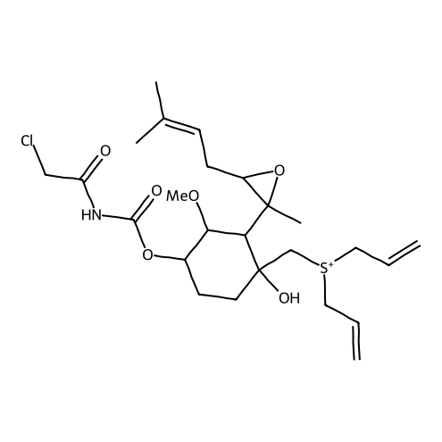 C=CC[S+](CC=C)CC1(O)CCC(OC(=O)NC(=O)CCl)C(OC)C1C1(C)OC1CC=C(C)C